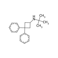 CC(C)(C)NC1CC(c2ccccc2)(c2ccccc2)C1